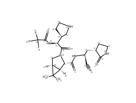 CC1(C)[C@@H]2[C@@H](C(=O)N[C@H](C#N)C[C@@H]3CCNC3=O)N(C(=O)[C@@H](NC(=O)C(F)(F)F)[C@H]3CCNC3)C[C@@H]21